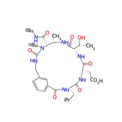 CCCCN1C(=O)NCc2cccc(c2)C(=O)N[C@@H](CC(C)C)C(=O)N[C@@H](CC(=O)O)C(=O)N[C@@H]([C@@H](C)O)C(=O)N[C@@H](C)[C@H]1C(=O)NC(C)(C)C